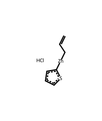 C=C[CH2][Zn][c]1cccs1.Cl